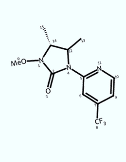 CON1C(=O)N(c2cc(C(F)(F)F)ccn2)C(C)[C@H]1C